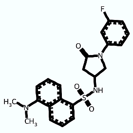 CN(C)c1cccc2c(S(=O)(=O)NC3CC(=O)N(c4cccc(F)c4)C3)cccc12